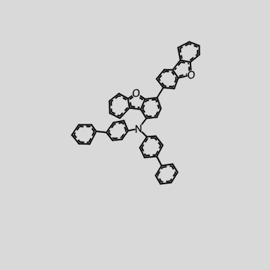 c1ccc(-c2ccc(N(c3ccc(-c4ccccc4)cc3)c3ccc(-c4ccc5c(c4)oc4ccccc45)c4oc5ccccc5c34)cc2)cc1